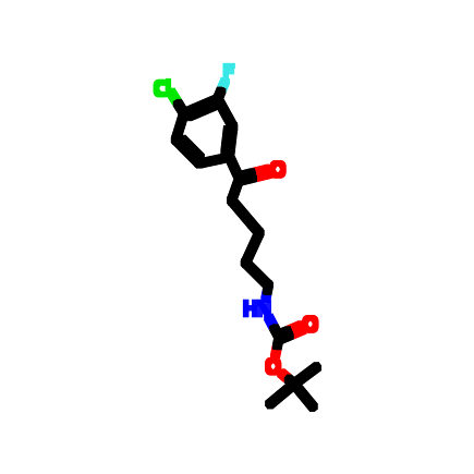 CC(C)(C)OC(=O)NCCCCC(=O)c1ccc(Cl)c(F)c1